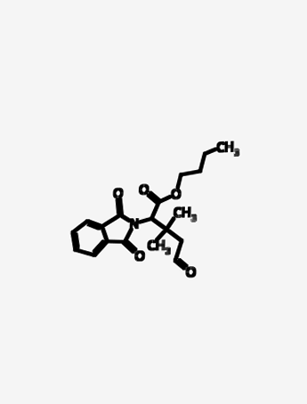 CCCCOC(=O)C(N1C(=O)c2ccccc2C1=O)C(C)(C)CC=O